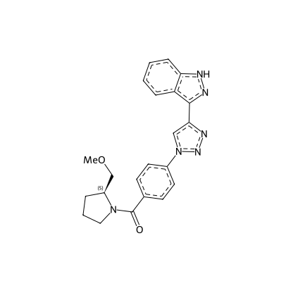 COC[C@@H]1CCCN1C(=O)c1ccc(-n2cc(-c3n[nH]c4ccccc34)nn2)cc1